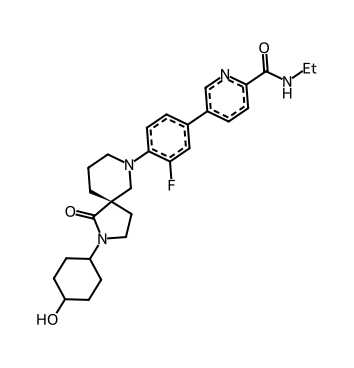 CCNC(=O)c1ccc(-c2ccc(N3CCC[C@]4(CCN(C5CCC(O)CC5)C4=O)C3)c(F)c2)cn1